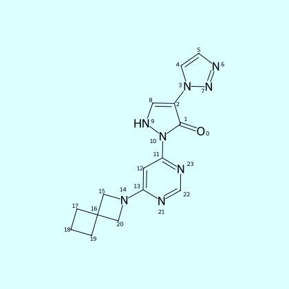 O=c1c(-n2ccnn2)c[nH]n1-c1cc(N2CC3(CCC3)C2)ncn1